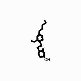 CCCCCc1ccc(-c2cc3ccc(O)cc3o2)c(CC)c1